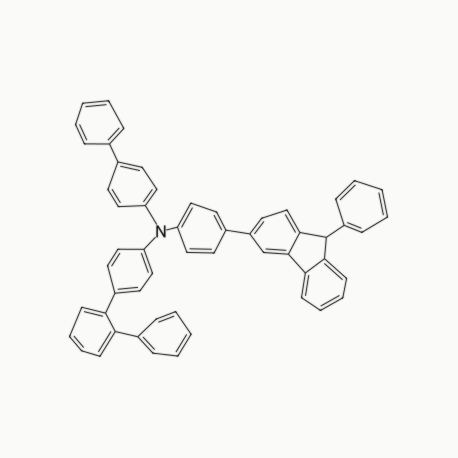 c1ccc(-c2ccc(N(c3ccc(-c4ccc5c(c4)-c4ccccc4C5c4ccccc4)cc3)c3ccc(-c4ccccc4-c4ccccc4)cc3)cc2)cc1